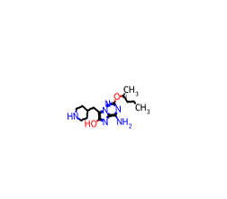 CCC[C@H](C)Oc1nc(N)c2nc(O)c(CC3CCNCC3)n2n1